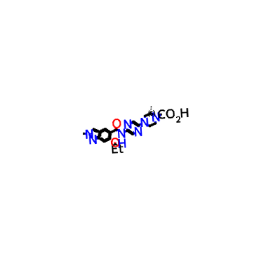 CCOc1cc2nn(C)cc2cc1C(=O)Nc1cnc(N2CCN(C(=O)O)[C@@H](C)C2)cn1